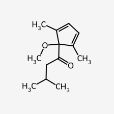 COC1(C(=O)CC(C)C)C(C)=CC=C1C